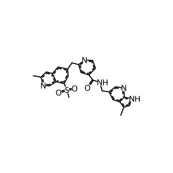 Cc1cc2cc(Cc3cc(C(=O)NCc4cnc5[nH]cc(C)c5c4)ccn3)cc(S(C)(=O)=O)c2cn1